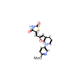 COc1ccc(N2C=CCc3cc(/C=C4\SC(=O)NC4=O)oc32)cn1